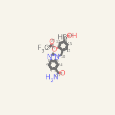 NC(=O)c1ccc2ncn(Cc3ccc(BO)cc3OC(=O)C(F)(F)F)c2c1